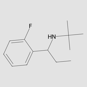 CCC(NC(C)(C)C)c1ccccc1F